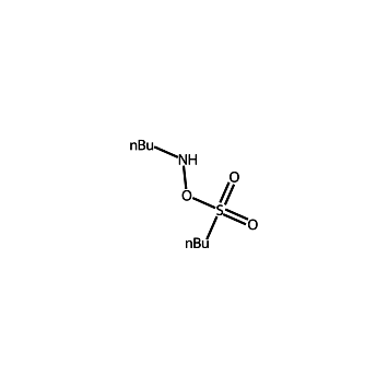 CCCCNOS(=O)(=O)CCCC